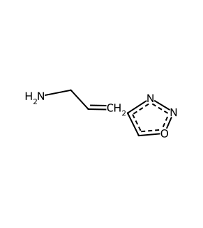 C=CCN.c1conn1